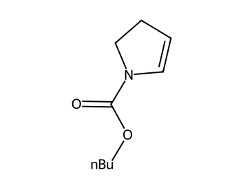 CCCCOC(=O)N1C=CCC1